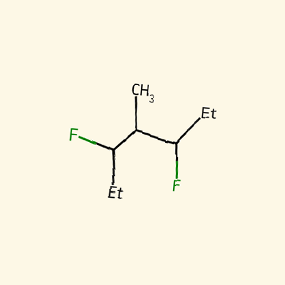 CCC(F)C(C)C(F)CC